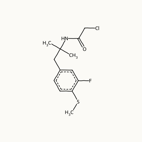 CSc1ccc(CC(C)(C)NC(=O)CCl)cc1F